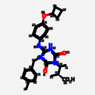 Cc1ccc(Cn2c(=O)n([C@@H](C)[C@@H](C)C(=O)O)c(=O)[nH]/c2=N\c2ccc(OC3CCC3)cc2)cc1